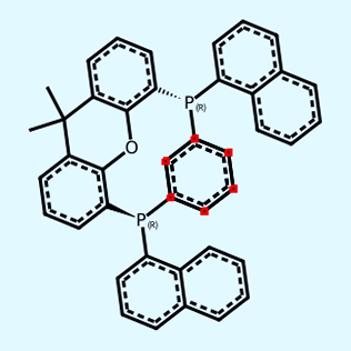 CC1(C)c2cccc([P@@](c3ccccc3)c3cccc4ccccc34)c2Oc2c([P@@](c3ccccc3)c3cccc4ccccc34)cccc21